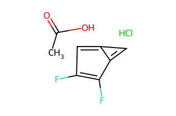 CC(=O)O.Cl.Fc1cc2cc-2c1F